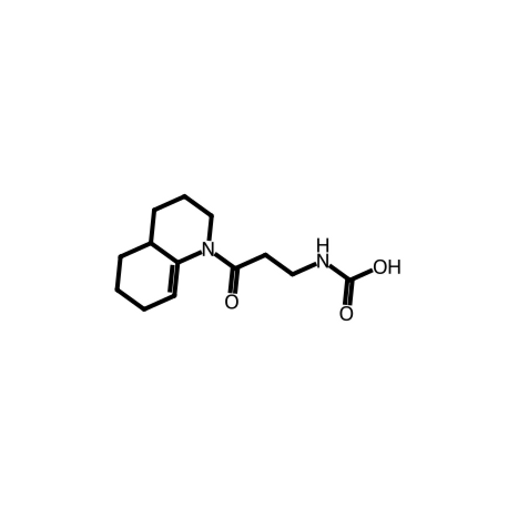 O=C(O)NCCC(=O)N1CCCC2CCCC=C21